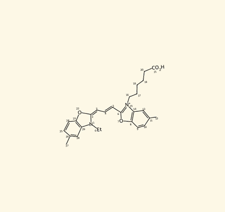 CCN1C(=CC=Cc2oc3ccc(C)cc3[n+]2CCCCCC(=O)O)Oc2ccc(C)cc21